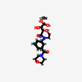 CC(C)(C)OC(=O)[C@H](O)[C@H]1OCCN(c2cc(F)cc(C(=O)N3CCOCC3)c2)C1=O